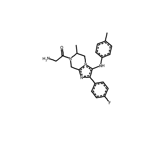 Cc1ccc(Nc2c(-c3ccc(F)cc3)nc3n2CC(C)N(C(=O)CN)C3)cc1